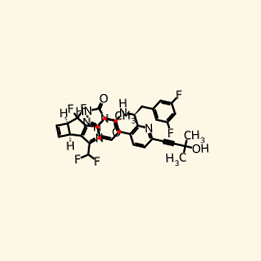 Cc1c(-c2ccc(C#CC(C)(C)O)nc2[C@H](Cc2cc(F)cc(F)c2)NC(=O)Cn2nc(C(F)F)c3c2C(F)(F)[C@@H]2C=C[C@H]32)ccc2n[nH]c(=O)n12